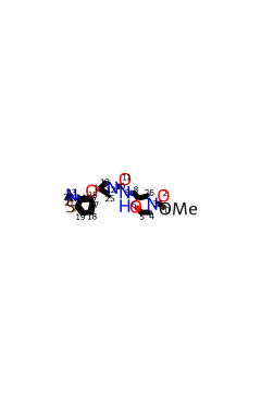 COC(=O)N1CCOC(CNC(=O)N2CC(Oc3cccc4scnc34)C2)C1